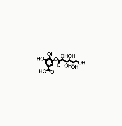 O=C(O)c1cc(O)c(O)c(OC(=O)[C@H](O)[C@@H](O)[C@H](O)[C@H](O)CO)c1